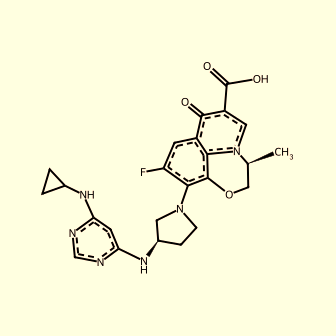 C[C@H]1COc2c(N3CC[C@@H](Nc4cc(NC5CC5)ncn4)C3)c(F)cc3c(=O)c(C(=O)O)cn1c23